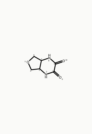 O=C1NC2COCC2NC1=O